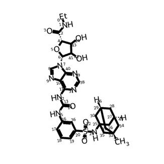 CCNC(=O)[C@H]1O[C@@H](n2cnc3c(NC(=O)Nc4cccc(S(=O)(=O)NC56C[C@H]7C[C@@H](C5)C[C@](C)(C7)C6)c4)ncnc32)C(O)C1O